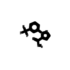 NC(=O)c1ccnn1-c1cccc(C(F)(F)F)c1